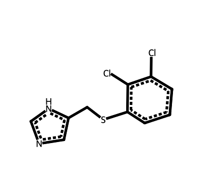 Clc1cccc(SCc2cnc[nH]2)c1Cl